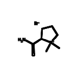 C[N+]1(C)CCCC1C(N)=O.[Br-]